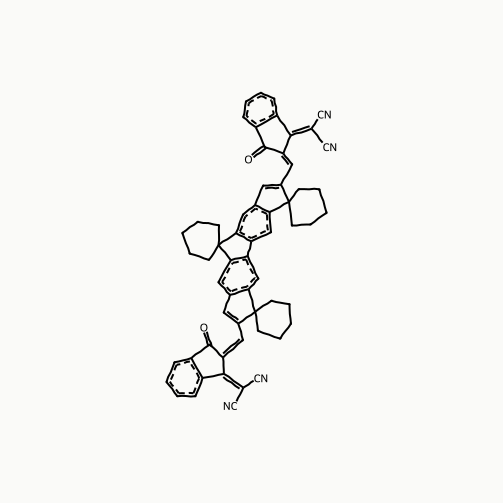 N#CC(C#N)=C1/C(=C/C2=Cc3cc4c(cc3C23CCCCC3)-c2cc3c(cc2C42CCCCC2)C=C(/C=C2\C(=O)c4ccccc4C2=C(C#N)C#N)C32CCCCC2)C(=O)c2ccccc21